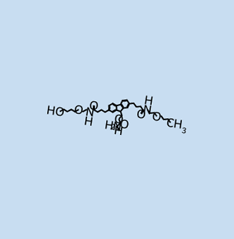 [2H]NC(=O)OCC1c2cc(CCCC(=O)NCCOCCCC)ccc2-c2ccc(CCCC(=O)NCCOCCCCO)cc21